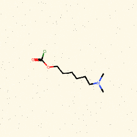 CN(C)CCCCCCOC(=O)Cl